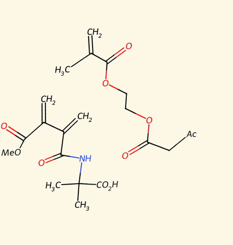 C=C(C(=C)C(=O)OC)C(=O)NC(C)(C)C(=O)O.C=C(C)C(=O)OCCOC(=O)CC(C)=O